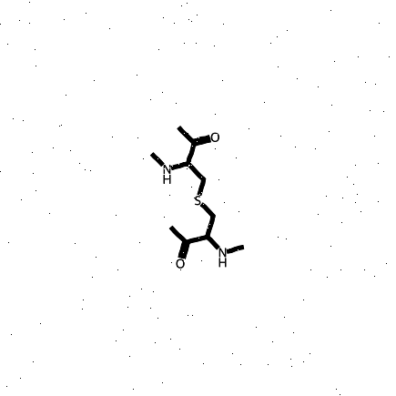 CNC(CSCC(NC)C(C)=O)C(C)=O